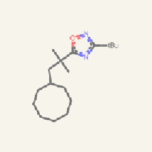 CC(C)(C)c1noc(C(C)(C)CC2CCCCCCC2)n1